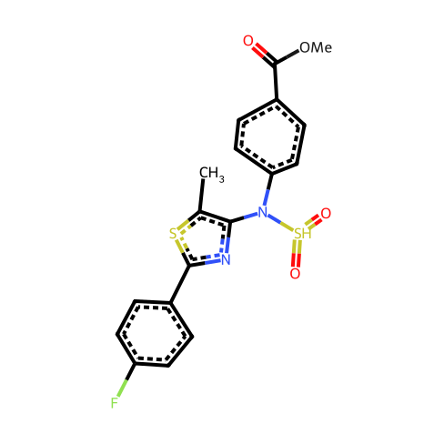 COC(=O)c1ccc(N(c2nc(-c3ccc(F)cc3)sc2C)[SH](=O)=O)cc1